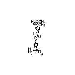 CC(C)(C)C(=O)c1ccc(CCNC(=O)NCc2ccc(C(=O)C(C)(C)C)cc2)cc1